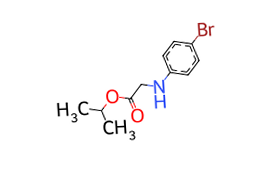 CC(C)OC(=O)CNc1ccc(Br)cc1